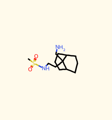 CS(=O)(=O)NCCC1(CN)C2CCCC1CCC2